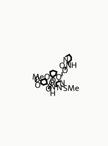 COc1ccccc1Oc1c(NS(=O)(=O)c2ccc3c(c2)OCO3)nc(SC)nc1OCCOC(=O)Nc1ccccn1